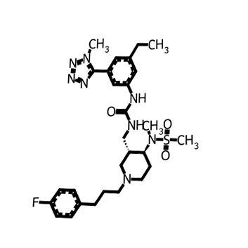 CCc1cc(NC(=O)NC[C@H]2CN(CCCc3ccc(F)cc3)CC[C@@H]2N(C)S(C)(=O)=O)cc(-c2nnnn2C)c1